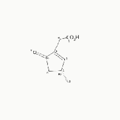 C[C@H]1C=C(CC(=O)O)C(=O)C1